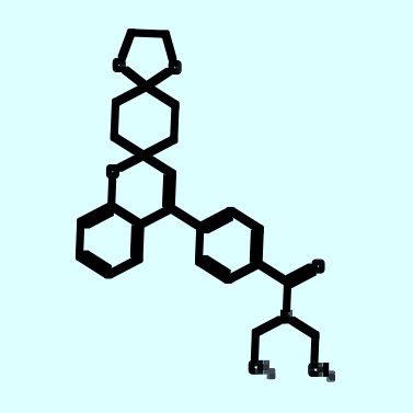 CCN(CC)C(=O)c1ccc(C2=CC3(CCC4(CC3)OCCO4)Oc3ccccc32)cc1